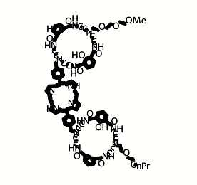 CCCOCCOCCN1CCNC(=O)c2cccc(c2O)C(=O)NCCN(Cc2ccc(-c3c4nc(cc5ccc([nH]5)c(-c5ccc(CN6CCNC(=O)c7cccc(c7O)C(=O)NCCN(CCOCCOCCOC)CCNC(=O)c7cccc(c7O)C(=O)NCC6)cc5)c5nc(cc6ccc3[nH]6)C=C5)C=C4)cc2)CCNC(=O)c2cccc(c2O)C(=O)NCC1